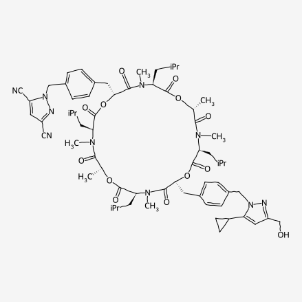 CC(C)C[C@H]1C(=O)O[C@H](Cc2ccc(Cn3nc(CO)cc3C3CC3)cc2)C(=O)N(C)[C@@H](CC(C)C)C(=O)O[C@H](C)C(=O)N(C)[C@@H](CC(C)C)C(=O)O[C@H](Cc2ccc(Cn3nc(C#N)cc3C#N)cc2)C(=O)N(C)[C@@H](CC(C)C)C(=O)O[C@H](C)C(=O)N1C